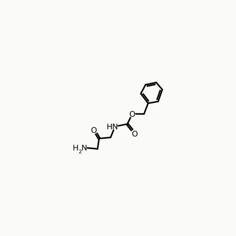 NCC(=O)CNC(=O)OCc1ccccc1